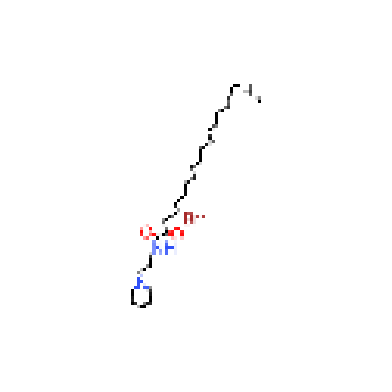 CCCCCCCCCCCCCCCCC(=O)C(=O)NCCC[n+]1ccccc1.[Br-]